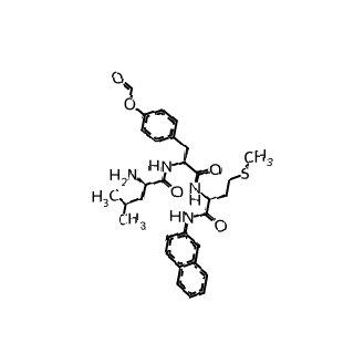 CSCC[C@H](NC(=O)[C@H](Cc1ccc(OC=O)cc1)NC(=O)[C@H](N)CC(C)C)C(=O)Nc1ccc2ccccc2c1